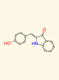 O=C1/C(=C/c2ccc(O)cc2)Nc2ccccc21